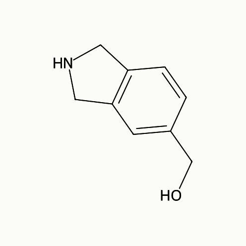 OCc1ccc2c(c1)CNC2